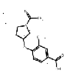 CC(=O)N1CCC(Oc2ccc(C(=O)O)cc2F)C1